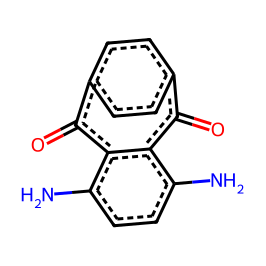 Nc1ccc(N)c2c(=O)c3ccc(cc3)c(=O)c12